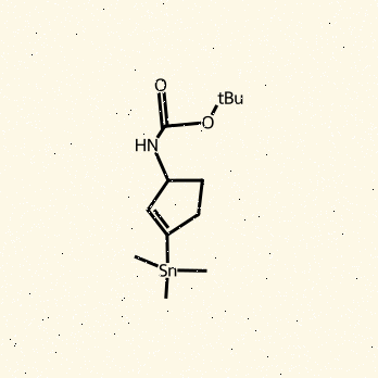 CC(C)(C)OC(=O)NC1C=[C]([Sn]([CH3])([CH3])[CH3])CC1